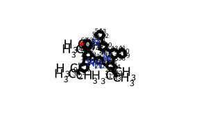 CC(C)(C)c1ccc2c(c1)c1cc(C(C)(C)C)cc3c4cc5c(nc4n2c13)c1cc(C(C)(C)C)cc2c3c4ccccc4cc(-c4ccc6c(c4)c4ccccc4n6-c4ccccc4)c3n5c12